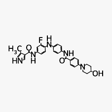 Cc1c[nH]cc1C(=O)Nc1ccc(Nc2ccc(NC(=O)c3ccc(N4CCC(O)CC4)cc3)cc2)c(F)c1